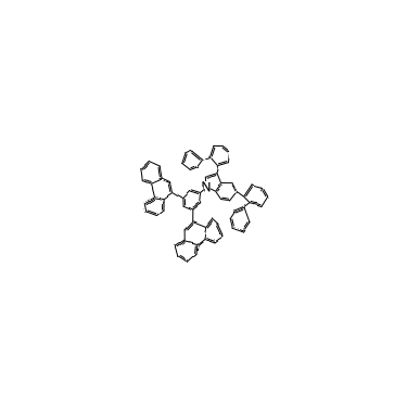 c1ccc(-c2ccccc2-c2ccc3c(c2)c(-c2ccccc2-c2ccccc2)cn3-c2cc(-c3cc4ccccc4c4ccccc34)cc(-c3cc4ccccc4c4ccccc34)c2)cc1